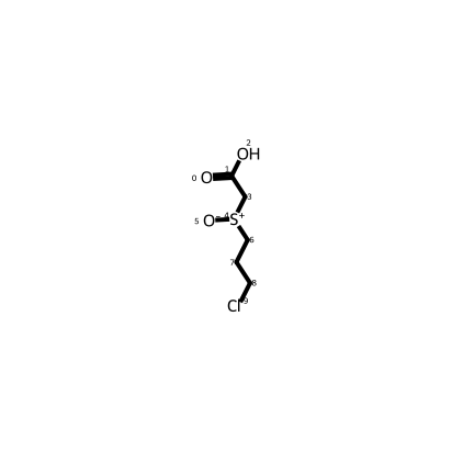 O=C(O)C[S+]([O-])CCCCl